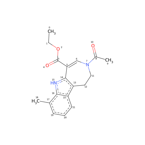 CCOC(=O)C1=CN(C(C)=O)CCc2c1[nH]c1c(C)cccc21